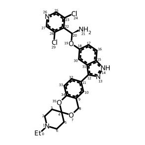 CCN1CCC2(CC1)OCc1cc(-c3n[nH]c4ccc(O[C@H](N)c5c(Cl)cncc5Cl)cc34)ccc1O2